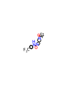 CCC(C)(C)C(=O)N1CCC2(CCN(C(=O)Nc3ccc(C(F)(F)F)cc3)C2)CC1